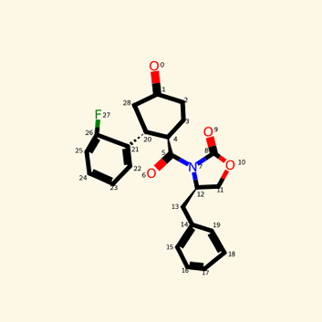 O=C1CC[C@@H](C(=O)N2C(=O)OC[C@H]2Cc2ccccc2)[C@H](c2ccccc2F)C1